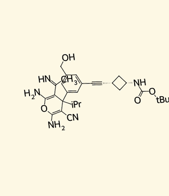 CC(=N)C1=C(N)OC(N)=C(C#N)C1(c1cc(C#C[C@H]2C[C@@H](NC(=O)OC(C)(C)C)C2)cc(CO)c1)C(C)C